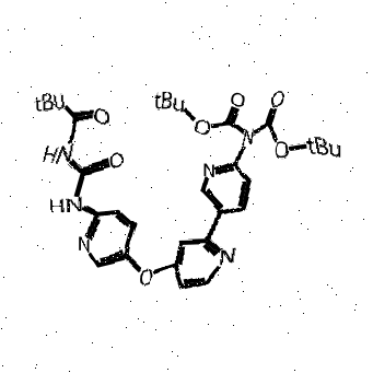 CC(C)(C)OC(=O)N(C(=O)OC(C)(C)C)c1ccc(-c2cc(Oc3ccc(NC(=O)NC(=O)C(C)(C)C)nc3)ccn2)cn1